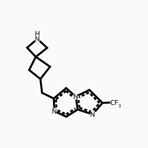 FC(F)(F)c1cn2cc(CC3CC4(CNC4)C3)ncc2n1